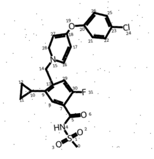 CS(=O)(=O)NC(=O)c1cc(C2CC2)c(CN2C=CC(Oc3ccc(Cl)cc3)=CC2)cc1F